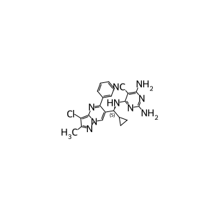 Cc1nn2cc([C@@H](Nc3nc(N)nc(N)c3C#N)C3CC3)c(-c3ccccc3)nc2c1Cl